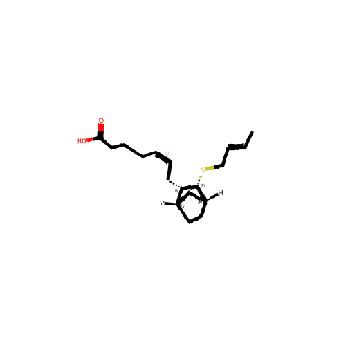 CC=CCS[C@@H]1[C@@H]2CC[C@@H](C2)[C@@H]1C/C=C\CCCC(=O)O